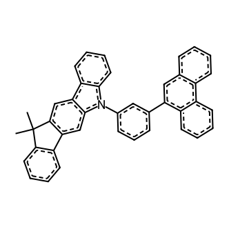 CC1(C)c2ccccc2-c2cc3c(cc21)c1ccccc1n3-c1cccc(-c2cc3ccccc3c3ccccc23)c1